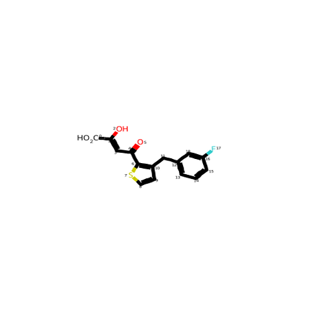 O=C(O)C(O)=CC(=O)c1sccc1Cc1cccc(F)c1